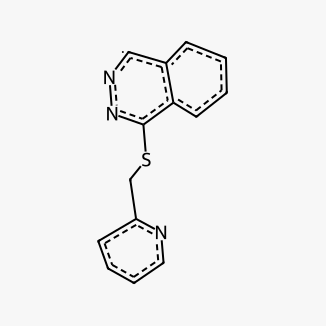 [c]1nnc(SCc2ccccn2)c2ccccc12